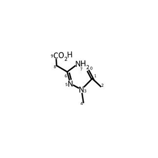 C=C(C)N(C)/N=C(\N)CC(=O)O